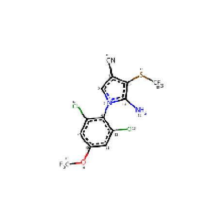 N#Cc1cn(-c2c(Cl)cc(OC(F)(F)F)cc2Cl)c(N)c1SC(F)(F)F